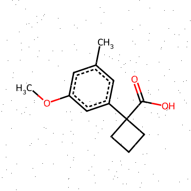 COc1cc(C)cc(C2(C(=O)O)CCC2)c1